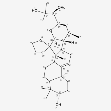 CC(=O)O[C@@H]([C@H]1C[C@@H](C)[C@H]2[C@H](O1)C1(SCCS1)[C@@]1(C)C3CCC4C(C)(C)[C@@H](O)CC[C@]4(C)C3=CC[C@]21C)C(C)(C)O